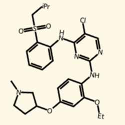 CCOc1cc(OC2CCN(C)C2)ccc1Nc1ncc(Cl)c(Nc2ccccc2S(=O)(=O)CC(C)C)n1